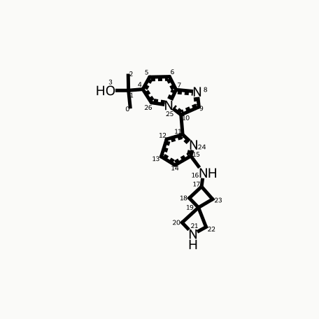 CC(C)(O)c1ccc2ncc(-c3cccc(NC4CC5(CNC5)C4)n3)n2c1